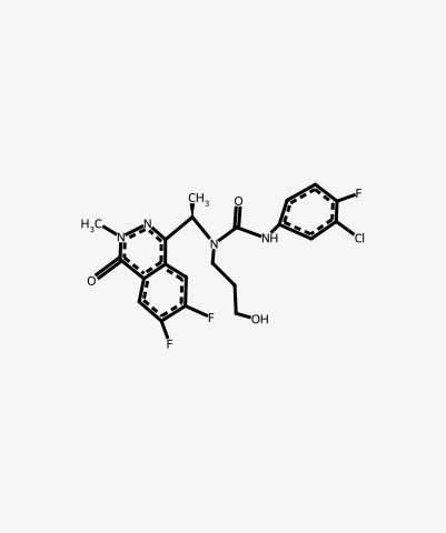 C[C@H](c1nn(C)c(=O)c2cc(F)c(F)cc12)N(CCCO)C(=O)Nc1ccc(F)c(Cl)c1